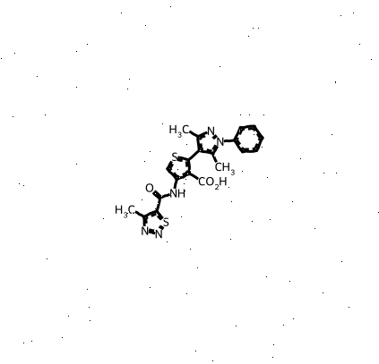 Cc1nnsc1C(=O)Nc1csc(-c2c(C)nn(-c3ccccc3)c2C)c1C(=O)O